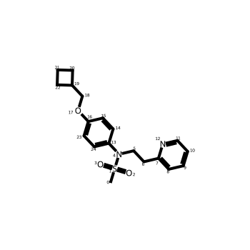 CS(=O)(=O)N(CCc1ccccn1)c1ccc(OCC2CCC2)cc1